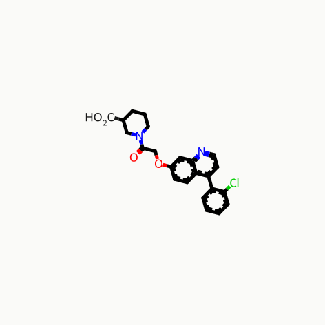 O=C(O)C1CCCN(C(=O)COc2ccc3c(-c4ccccc4Cl)ccnc3c2)C1